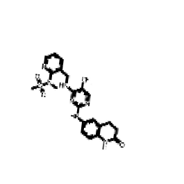 CN(c1ncccc1CNc1nc(Nc2ccc3c(c2)CCC(=O)N3)ncc1C(F)(F)F)S(C)(=O)=O